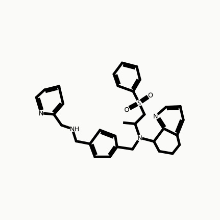 CC(CS(=O)(=O)c1ccccc1)N(Cc1ccc(CNCc2ccccn2)cc1)C1CCCc2cccnc21